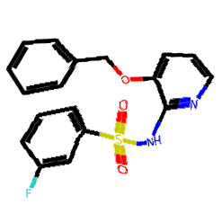 O=S(=O)(Nc1ncccc1OCc1ccccc1)c1cccc(F)c1